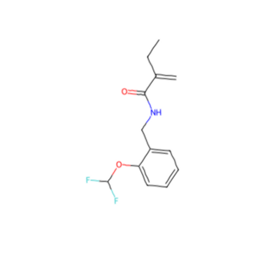 C=C(CC)C(=O)NCc1ccccc1OC(F)F